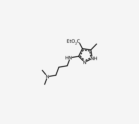 CCOC(=O)c1c(NCCCN(C)C)n[nH]c1C